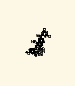 COc1ccc(/N=N/c2c(S(=O)(=O)O)cc3ccc(Nc4nc(Cl)nc(Cl)n4)cc3c2O)c(S(=O)(=O)O)c1